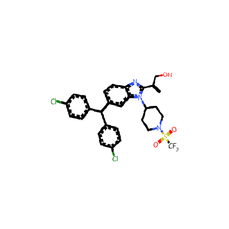 C=C(CO)c1nc2ccc(C(c3ccc(Cl)cc3)c3ccc(Cl)cc3)cc2n1C1CCN(S(=O)(=O)C(F)(F)F)CC1